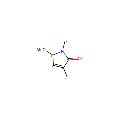 COC1C=C(C)C(=O)N1C